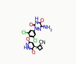 N#C[C@@H]1CC[C@H]1c1cc(Oc2c(Cl)cc(-n3nc(N)c(=O)[nH]c3=O)cc2Cl)n[nH]c1=O